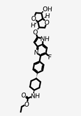 CCOC(=O)N[C@H]1CC[C@H](c2ccc(-c3nc4cc(O[C@@H]5CO[C@H]6[C@@H]5OC[C@H]6O)[nH]c4cc3F)cc2)CC1